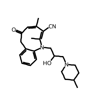 CC1=C/C(=O)Cc2ccccc2N(CC(O)CN2CCC(C)CC2)\C(C)=C\1C#N